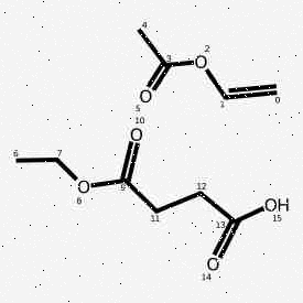 C=COC(C)=O.CCOC(=O)CCC(=O)O